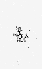 Cn1cc(-c2cc3c(cc2C#N)NCCN3C2CC2)cn1